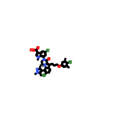 Cc1cc(OCCCc2c3n(c4c(-c5c(C)nn(C)c5C)c(Cl)ccc24)[C@H](C)CN(c2cc(Cl)cc4c(C(=O)O)cn(C)c24)C3=O)cc(C)c1Cl